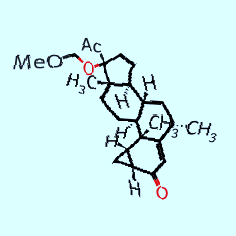 COCO[C@]1(C(C)=O)CC[C@H]2[C@@H]3C[C@H](C)C4=CC(=O)[C@@H]5C[C@@H]5[C@]4(C)[C@H]3CC[C@@]21C